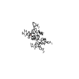 CC(=O)OC1C(N=[N+]=[N-])[C@@H](O[C@@H]2C(N=[N+]=[N-])C[C@@H](NC(=O)OC(C)(C)C)C(OC(C)=O)C2O)OC([C@@H](C)OC(C)=O)[C@H]1OC(C)=O